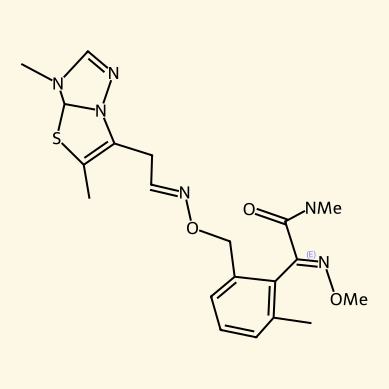 CNC(=O)/C(=N/OC)c1c(C)cccc1CON=CCC1=C(C)SC2N(C)C=NN12